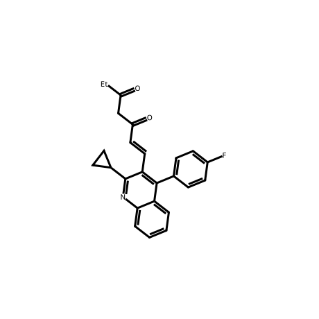 CCC(=O)CC(=O)/C=C/c1c(C2CC2)nc2ccccc2c1-c1ccc(F)cc1